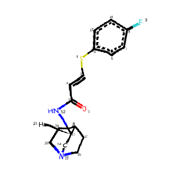 O=C(C=CSc1ccc(F)cc1)N[C@H]1CN2CCC1CC2